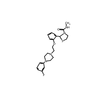 CNC(=O)N1CCSC1c1ccccc1OCCN1CCN(c2cccc(F)c2)CC1